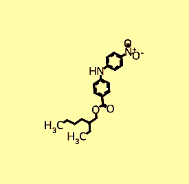 CCCCC(CC)COC(=O)c1ccc(Nc2ccc([N+](=O)[O-])cc2)cc1